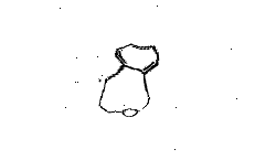 [CH]1CCOCc2ccccc21